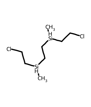 C[SiH](CCCl)CC[SiH](C)CCCl